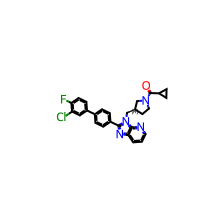 O=C(C1CC1)N1CC[C@@H](Cn2c(-c3ccc(-c4ccc(F)c(Cl)c4)cc3)nc3cccnc32)C1